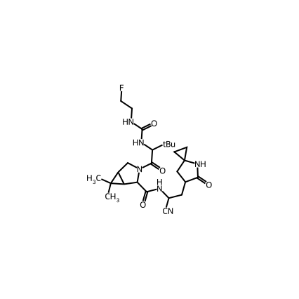 CC(C)(C)C(NC(=O)NCCF)C(=O)N1CC2C(C1C(=O)NC(C#N)CC1CC3(CC3)NC1=O)C2(C)C